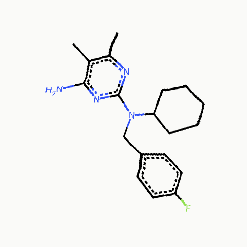 Cc1nc(N(Cc2ccc(F)cc2)C2CCCCC2)nc(N)c1C